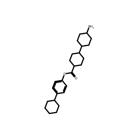 BC1CCC(C2CCC(C(=O)OC3=C=C=C(C4CCCCC4)C=C3)CC2)CC1